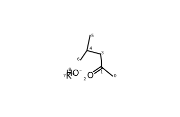 CC(=O)CC(C)C.[K+].[OH-]